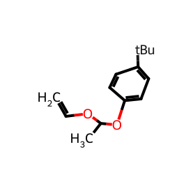 C=COC(C)Oc1ccc(C(C)(C)C)cc1